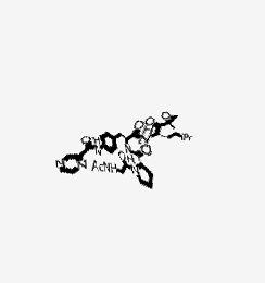 CC(=O)NCC(=O)N1CCC[C@H]1C(=O)N[C@@H](Cc1ccc(NC(=O)c2cnccn2)cc1)C(=O)N[C@@H](CCC(C)C)C(=O)[C@@]1(C)CO1